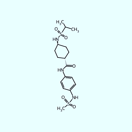 CC(C)S(=O)(=O)N[C@H]1CC[C@H](C(=O)Nc2ccc(NS(C)(=O)=O)cc2)CC1